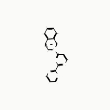 c1cnc(-c2nccc(N3CC4CCC3c3ccccc34)n2)nc1